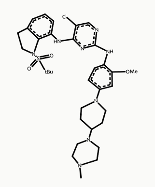 COc1cc(N2CCC(N3CCN(C)CC3)CC2)ccc1Nc1ncc(Cl)c(Nc2cccc3c2N(S(=O)(=O)C(C)(C)C)CC3)n1